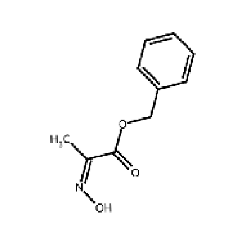 C/C(=N/O)C(=O)OCc1ccccc1